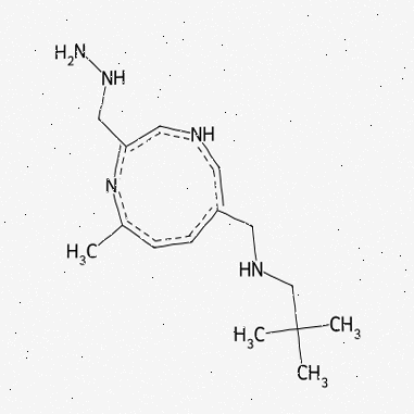 Cc1ccc(CNCC(C)(C)C)c[nH]cc(CNN)n1